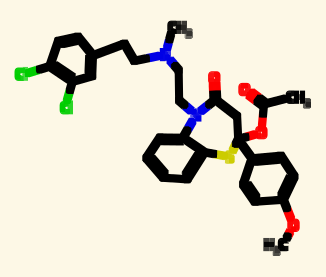 COc1ccc(C2(OC(C)=O)CC(=O)N(CCN(C)CCc3ccc(Cl)c(Cl)c3)c3ccccc3S2)cc1